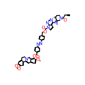 C#CCC(=O)N1CC[C@@H](C)[C@@H](N(C)c2ncnc3c2ccn3C(=O)OCc2ccc(/N=N/c3ccc(C(=O)Oc4c(OC)ccc5cc6[n+](cc45)CCc4cc5c(cc4-6)OCO5)cc3)cc2)C1